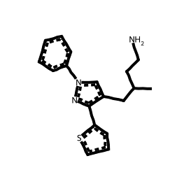 CC(CCN)Cc1cn(-c2ccccc2)nc1-c1cccs1